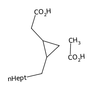 CC(=O)O.CCCCCCCCC1CC1CC(=O)O